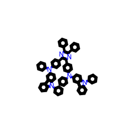 c1ccc(-c2nc(-c3ccc(N(c4ccccc4)c4ccc5c(c4)c4ccccc4n5-c4ccccc4)cc3)c(-c3ccc(N(c4ccccc4)c4ccc5c(c4)c4ccccc4n5-c4ccccc4)cc3)nc2-c2ccccc2)cc1